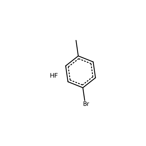 Cc1ccc(Br)cc1.F